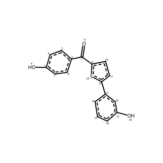 O=C(c1ccc(O)cc1)c1ccc(-c2cccc(O)c2)s1